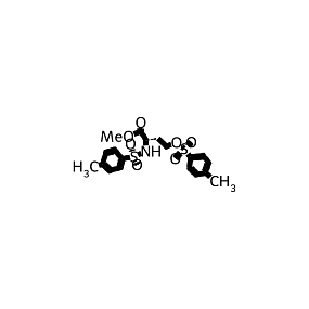 COC(=O)[C@H](CCOS(=O)(=O)c1ccc(C)cc1)NS(=O)(=O)c1ccc(C)cc1